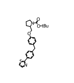 CC(C)(C)OC(=O)N1CCCC1COc1ccc(Cc2ccc(-c3nccs3)cc2)cc1